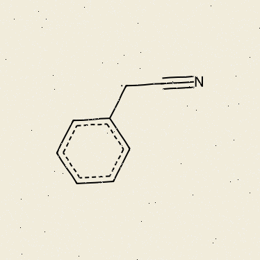 N#C[CH]c1ccccc1